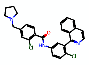 O=C(Nc1ccc(Cl)c(-c2nccc3ccccc23)c1)c1ccc(CN2CCCC2)cc1Cl